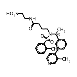 Cc1cnccc1-c1cccc([C@H](C)N(CCCC(=O)NCCS(=O)(=O)O)S(=O)(=O)c2ccccc2C)c1